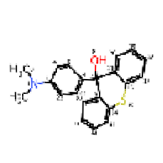 CN(C)c1ccc(C2(O)c3ccccc3Sc3ccccc32)cc1